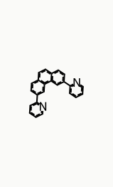 c1ccc(-c2ccc3ccc4ccc(-c5ccccn5)cc4c3c2)nc1